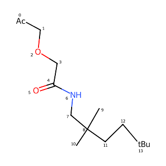 CC(=O)COCC(=O)NCC(C)(C)CCC(C)(C)C